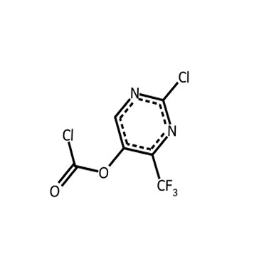 O=C(Cl)Oc1cnc(Cl)nc1C(F)(F)F